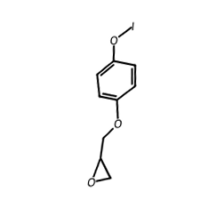 IOc1ccc(OCC2CO2)cc1